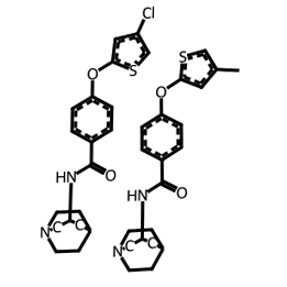 Cc1csc(Oc2ccc(C(=O)NC3CC4CCN(CC4)C3)cc2)c1.O=C(NC1CC2CCN(CC2)C1)c1ccc(Oc2cc(Cl)cs2)cc1